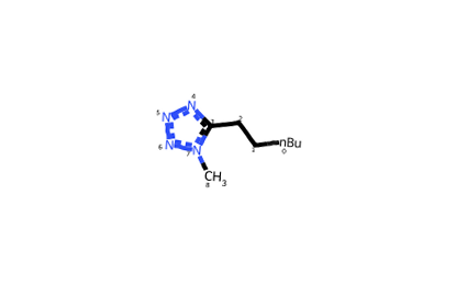 [CH2]CCCCCc1nnnn1C